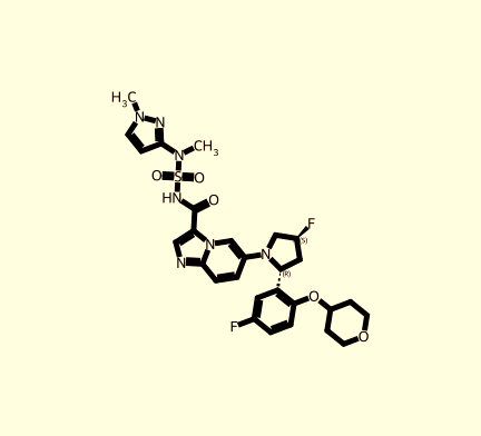 CN(c1ccn(C)n1)S(=O)(=O)NC(=O)c1cnc2ccc(N3C[C@@H](F)C[C@@H]3c3cc(F)ccc3OC3CCOCC3)cn12